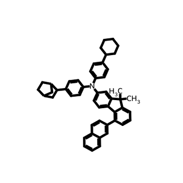 CC1(C)c2cc(N(c3ccc(C4CCCCC4)cc3)c3ccc(C4CC5CCC4C5)cc3)ccc2-c2c(-c3ccc4ccccc4c3)cccc21